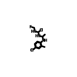 Cc1cc(Cl)ccc1NC(C)NC(Cl)NCF